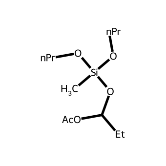 CCCO[Si](C)(OCCC)OC(CC)OC(C)=O